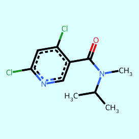 CC(C)N(C)C(=O)c1cnc(Cl)cc1Cl